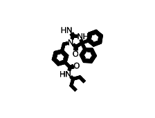 CCC(CC)NC(=O)c1cccc(CN2C(=N)NC(c3ccccc3)(c3ccccc3)C2=O)c1